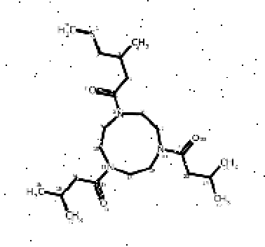 CSCC(C)CC(=O)N1CCN(C(=O)CC(C)C)CCN(C(=O)CC(C)C)CC1